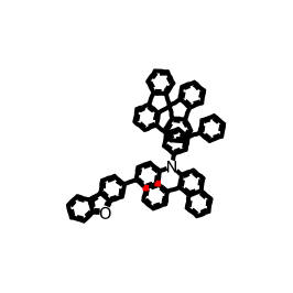 c1ccc(-c2cc(-c3cccc4c3C3(c5ccccc5-c5ccccc53)c3ccccc3-4)cc(N(c3ccc(-c4ccc5c(c4)oc4ccccc45)cc3)c3ccc4ccccc4c3-c3ccccc3)c2)cc1